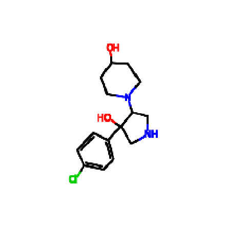 OC1CCN(C2CNCC2(O)c2ccc(Cl)cc2)CC1